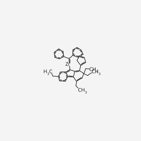 CCC1=CC(CC)(CC)C(C2=CC=CC2)=C2[C]([Zr]=[C](c3ccccc3)c3ccccc3)=c3cc(CC)ccc3=C12